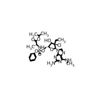 C=C[C@@]1(Cl)[C@H](O)[C@@H](CO[P@](=O)(N[C@H](C)C(=O)OC(C)C)Oc2ccccc2)O[C@H]1n1cnc2c(NC)nc(N)nc21